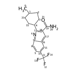 CC1CCC(c2nc3ccc(C(F)(F)F)cc3cc2C(N)=O)CC1